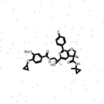 COc1cc(C(=O)NC[C@](C)(O)c2cc3c(c(-c4ccc(F)cc4)n2)OC[C@]3(C)C(=O)NC2(C)CC2)ccc1OC1CC1